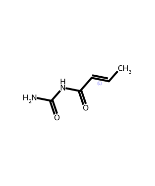 C/C=C/C(=O)NC(N)=O